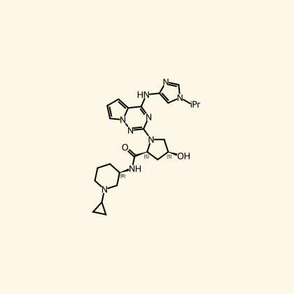 CC(C)n1cnc(Nc2nc(N3C[C@@H](O)C[C@H]3C(=O)N[C@@H]3CCCN(C4CC4)C3)nn3cccc23)c1